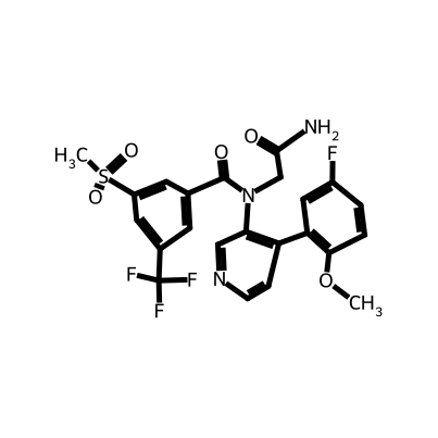 COc1ccc(F)cc1-c1ccncc1N(CC(N)=O)C(=O)c1cc(C(F)(F)F)cc(S(C)(=O)=O)c1